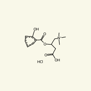 C[N+](C)(C)CC(CC(=O)O)OC(=O)c1ccccc1O.Cl